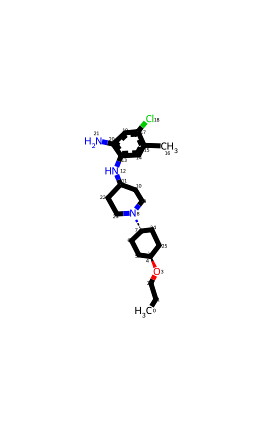 CCCO[C@H]1CC[C@H](N2CCC(Nc3cc(C)c(Cl)cc3N)CC2)CC1